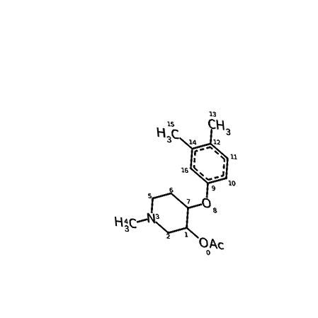 CC(=O)OC1CN(C)CCC1Oc1ccc(C)c(C)c1